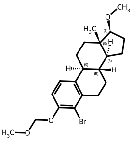 COCOc1ccc2c(c1Br)CC[C@@H]1[C@@H]2CC[C@]2(C)[C@@H](OC)CC[C@@H]12